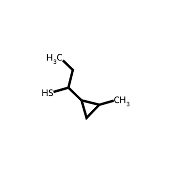 CCC(S)C1CC1C